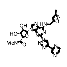 CNC(=O)[C@H]1O[C@@H](n2cnc3c(NCc4cc(C)no4)nc(-n4cc(-c5cnccn5)nn4)nc32)[C@H](O)[C@@H]1O